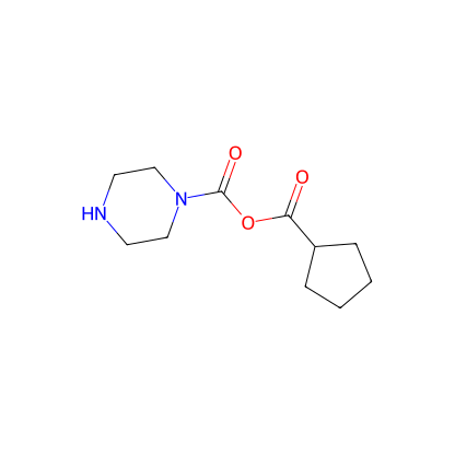 O=C(OC(=O)N1CCNCC1)C1CCCC1